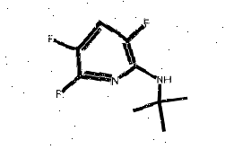 CC(C)(C)Nc1nc(F)c(F)cc1F